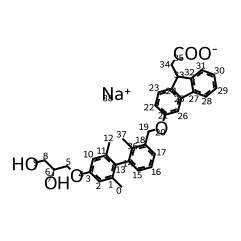 Cc1cc(OC[C@@H](O)CO)cc(C)c1-c1cccc(COc2ccc3c(c2)-c2ccccc2C3CC(=O)[O-])c1C.[Na+]